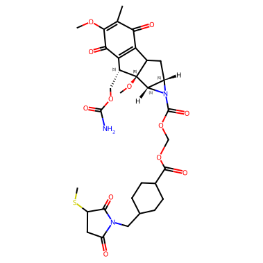 COC1=C(C)C(=O)C2=C(C1=O)[C@@H](COC(N)=O)[C@]1(OC)C2C[C@H]2[C@@H]1N2C(=O)OCOC(=O)C1CCC(CN2C(=O)CC(SC)C2=O)CC1